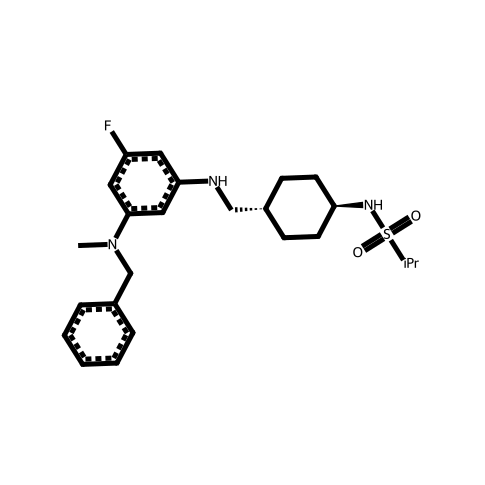 CC(C)S(=O)(=O)N[C@H]1CC[C@H](CNc2cc(F)cc(N(C)Cc3ccccc3)c2)CC1